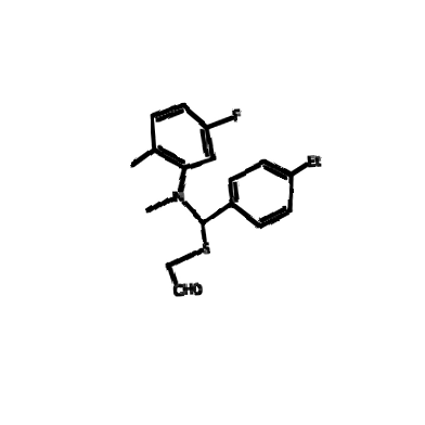 CCc1ccc(C(SCC=O)N(C)c2cc(F)ccc2C)cc1